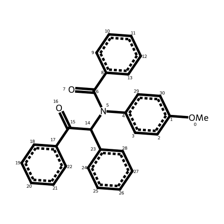 COc1ccc(N(C(=O)c2ccccc2)C(C(=O)c2ccccc2)c2ccccc2)cc1